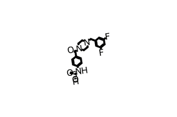 O=C(c1ccc(N[SH](=O)=O)cc1)N1CCN(Cc2cc(F)cc(F)c2)CC1